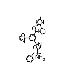 Cc1csc([C@H]2CCCN2C(=O)c2cc(-c3ncco3)cc(-c3ncc([C@](C)(N)Cc4ccccc4)o3)c2)n1